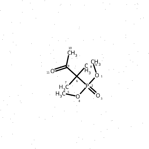 COP(=O)(OC)C(C)(C)C(C)=O